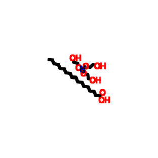 CCCCCCCCC=CCCCCCCCC(=O)O.OCCON(OCCO)OCCO